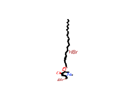 Br.CCCCCCCCCCCCCCCCCCOc1cn(C)c(CBr)cc1=O